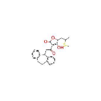 CSC(C)CC1OC(=O)C(C(=O)CC2c3ccccc3CCc3ccccc32)=C1O